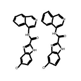 O=C(Nc1cncc2ccccc12)c1nc2cc(Cl)ccc2[nH]1.O=C(Nc1cncc2ccccc12)c1nc2cc(Cl)ccc2[nH]1